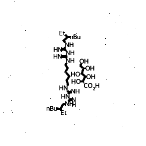 CCCCC(CC)CNC(=N)NC(=N)NCCCCCCNC(=N)NC(=N)NCC(CC)CCCC.O=C(O)[C@H](O)[C@@H](O)[C@H](O)[C@H](O)CO